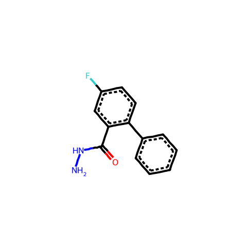 NNC(=O)c1cc(F)ccc1-c1ccccc1